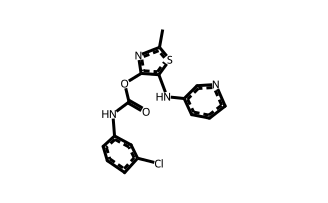 Cc1nc(OC(=O)Nc2cccc(Cl)c2)c(Nc2cccnc2)s1